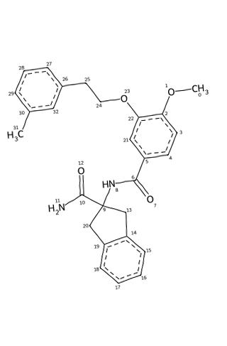 COc1ccc(C(=O)NC2(C(N)=O)Cc3ccccc3C2)cc1OCCc1cccc(C)c1